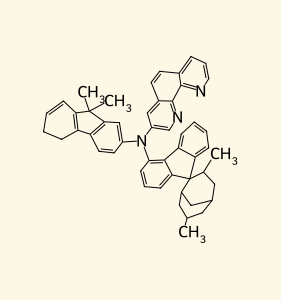 CC1CC2CC(C)C3(c4ccccc4-c4c(N(c5ccc6c(c5)C(C)(C)C5=C6CCC=C5)c5cnc6c(ccc7cccnc76)c5)cccc43)C(C1)C2